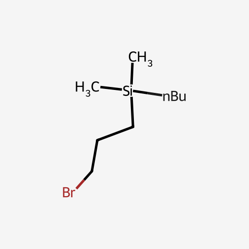 CCCC[Si](C)(C)CCCBr